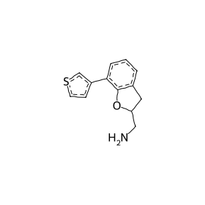 NCC1Cc2cccc(-c3ccsc3)c2O1